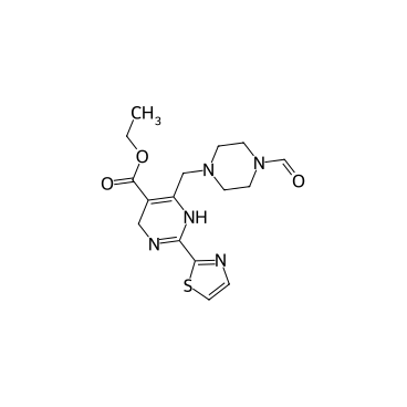 CCOC(=O)C1=C(CN2CCN(C=O)CC2)NC(c2nccs2)=NC1